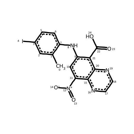 Cc1cc(I)ccc1Nc1cc([N+](=O)[O-])c2nccnc2c1C(=O)O